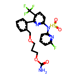 NC(=O)OCCCOCc1ccccc1-c1nc(N(c2cccc(F)n2)[SH](=O)=O)ccc1C(F)(F)F